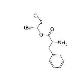 CC(C)(C)C(OC(=O)C(N)Cc1ccccc1)SCl